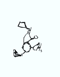 Cc1cc(Br)cc2c1C(=O)N(N=C1CCC1)C2